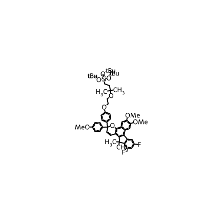 COc1ccc(C2(c3ccc(OCCOC(C)(C)CC[Si](OC(C)(C)C)(OC(C)(C)C)OC(C)(C)C)cc3)C=Cc3c4c(c5cc(OC)c(OC)cc5c3O2)-c2cc(F)cc(F)c2C4(C)C)cc1